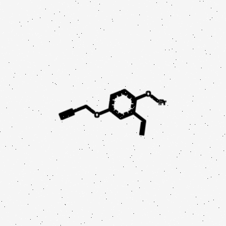 C#CCOc1ccc(OC(C)C)c(C=C)c1